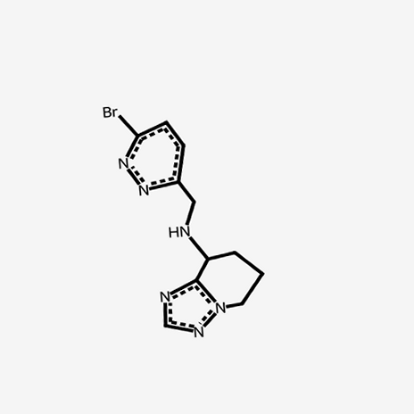 Brc1ccc(CNC2CCCn3ncnc32)nn1